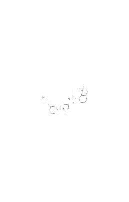 C[C@@H]1CCN(c2ccnc(-n3cc(S(=O)(=O)Nc4cccc5cnn(C)c45)cn3)c2)C1